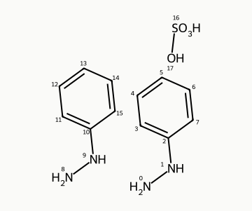 NNc1ccccc1.NNc1ccccc1.O=S(=O)(O)O